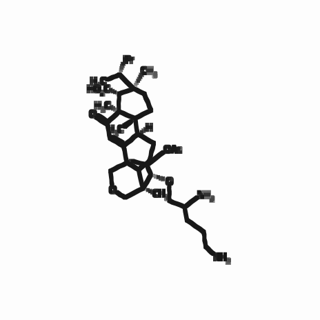 CC(=O)OC1C[C@@]23COC[C@@](C)(C2CC[C@H]2C3=CC(=O)[C@@]3(C)[C@H](C(=O)O)[C@@](C)([C@H](C)C(C)C)CC[C@]23C)[C@H]1OCC(N)CCCN